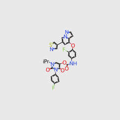 CC(C)n1cc(OC(=O)Nc2ccc(Oc3cc(-c4cnsc4)cn4nccc34)c(F)c2)c(=O)n(-c2ccc(F)cc2)c1=O